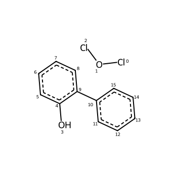 ClOCl.Oc1ccccc1-c1ccccc1